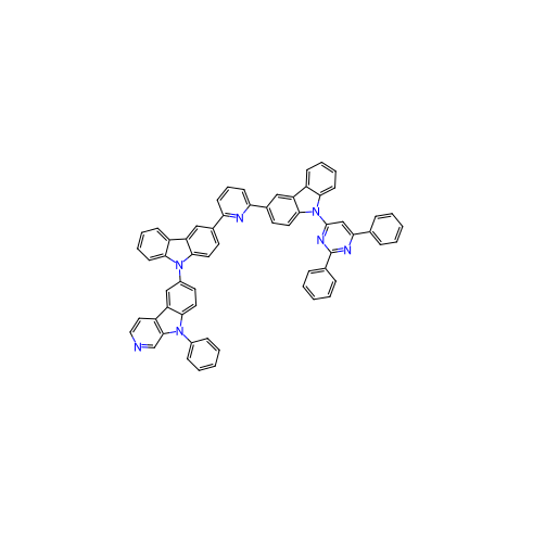 c1ccc(-c2cc(-n3c4ccccc4c4cc(-c5cccc(-c6ccc7c(c6)c6ccccc6n7-c6ccc7c(c6)c6ccncc6n7-c6ccccc6)n5)ccc43)nc(-c3ccccc3)n2)cc1